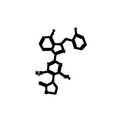 Nc1nc(-c2nn(Cc3ccccc3F)c3c(F)cccc23)nc(N)c1N1CCOC1=O